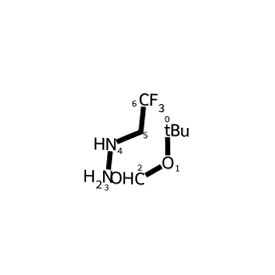 CC(C)(C)OC=O.NNCC(F)(F)F